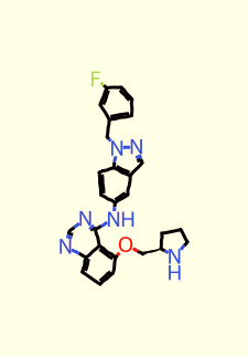 Fc1cccc(Cn2ncc3cc(Nc4ncnc5cccc(OC[C@H]6CCCN6)c45)ccc32)c1